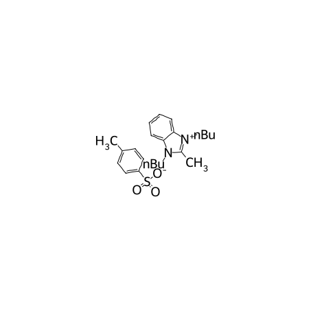 CCCCn1c(C)[n+](CCCC)c2ccccc21.Cc1ccc(S(=O)(=O)[O-])cc1